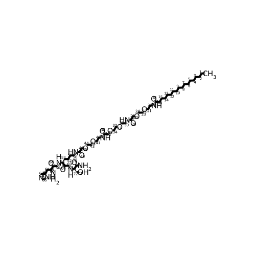 CCCCCCCCCCCCCCCCCC(=O)NCCOCCOCC(=O)NCCOCCOCC(=O)NCCOCCOCC(=O)NCCCC[C@H](NCC(=O)[C@@H](N)Cc1cnc[nH]1)C(=O)CN[C@@H](CO)C(N)=O